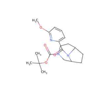 COc1cccc(C(=O)N2C3CCC2CN(C(=O)OC(C)(C)C)CC3)n1